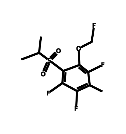 Cc1c(F)c(F)c(S(=O)(=O)C(C)C)c(OCF)c1F